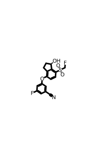 N#Cc1cc(F)cc(Oc2ccc(S(=O)(=O)CF)c3c2CC[C@H]3O)c1